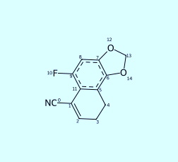 N#CC1=CCCc2c3c(cc(F)c21)OCO3